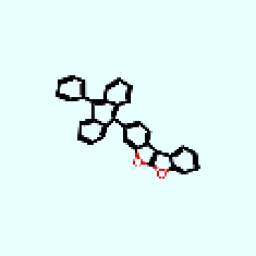 c1ccc(-c2c3ccccc3c(-c3ccc4c(c3)oc3oc5ccccc5c34)c3ccccc23)cc1